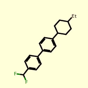 CCC1CCC(c2ccc(-c3ccc(C(F)F)cc3)cc2)CC1